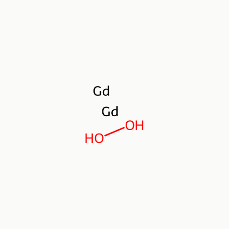 OO.[Gd].[Gd]